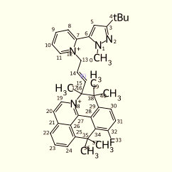 Cn1nc(C(C)(C)C)cc1-c1cccc[n+]1C/C=C/C1(C)[n+]2ccc3cccc4c3c2-c2c(ccc(F)c2C4(C)C)C1(C)C